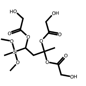 CO[Si](C)(OC)C(CC(C)(OC(=O)CO)OC(=O)CO)OC(=O)CO